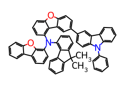 CC1(C)c2ccccc2-c2c(N(c3cccc4c3oc3ccccc34)c3cccc4oc5ccc(-c6ccc7c(c6)c6ccccc6n7-c6ccccc6)cc5c34)cccc21